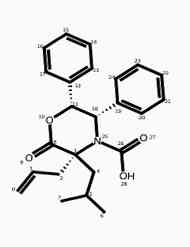 C=CC[C@]1(CC(C)C)C(=O)O[C@H](c2ccccc2)[C@H](c2ccccc2)N1C(=O)O